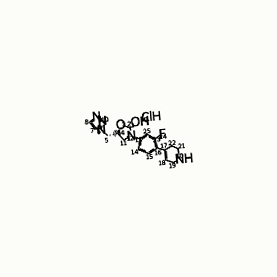 Cl.OC1O[C@@H](Cn2ccnn2)CN1c1ccc(C2=CCNCC2)c(F)c1